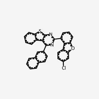 Clc1ccc2c(c1)oc1cccc(-c3nc(-c4ccc5ccccc5c4)c4c(n3)sc3ccccc34)c12